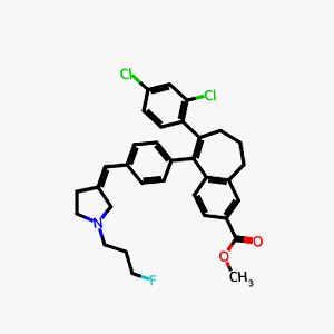 COC(=O)c1ccc2c(c1)CCCC(c1ccc(Cl)cc1Cl)=C2c1ccc(C=C2CCN(CCCF)C2)cc1